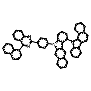 c1ccc2cc3c(cc2c1)c1c(-n2c4ccccc4c4ccc5ccccc5c42)cccc1n3-c1ccc(-c2nc(-c3cccc4ccccc34)c3ccccc3n2)cc1